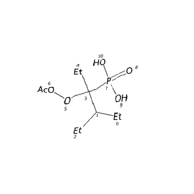 CCC(CC)C(CC)(OOC(C)=O)P(=O)(O)O